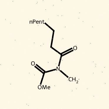 [CH2]N(C(=O)CCCCCCC)C(=O)OC